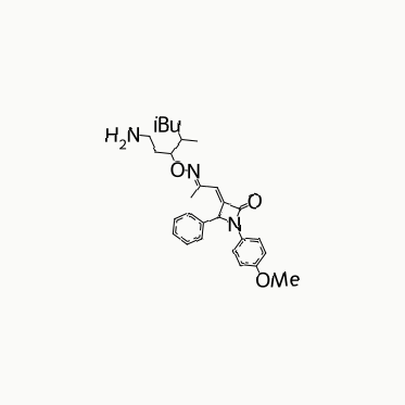 CCC(C)C(C)C(CCN)ON=C(C)/C=C1/C(=O)N(c2ccc(OC)cc2)C1c1ccccc1